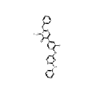 Cn1c(Cc2ccccc2)ncc(-c2ccc(Oc3ccnc(Nc4ccccc4)n3)c(F)c2)c1=O